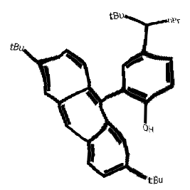 CCCC(c1ccc(O)c(-c2c3ccc(C(C)(C)C)cc3cc3ccc(C(C)(C)C)cc23)c1)C(C)(C)C